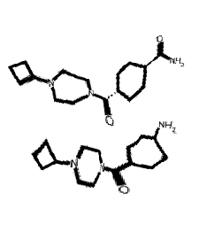 NC(=O)[C@H]1CC[C@H](C(=O)N2CCN(C3CCC3)CC2)CC1.NC1CCC(C(=O)N2CCN(C3CCC3)CC2)CC1